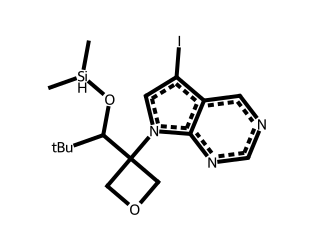 C[SiH](C)OC(C(C)(C)C)C1(n2cc(I)c3cncnc32)COC1